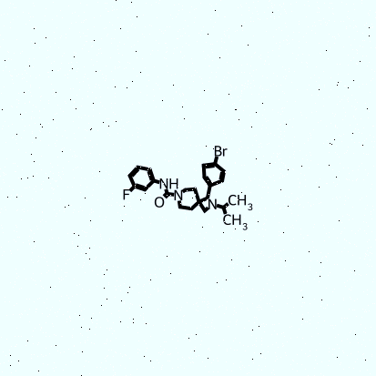 CC(C)N1CC2(CCN(C(=O)Nc3cccc(F)c3)CC2)C1c1ccc(Br)cc1